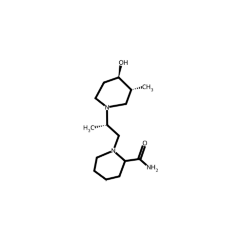 C[C@@H]1CN([C@@H](C)CN2CC[CH]CC2C(N)=O)CC[C@H]1O